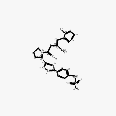 CS(=O)(=O)Nc1ccc(-c2noc([C@@H]3CCCN3C(=O)C[C@H](N)Cc3ccccc3F)n2)cc1